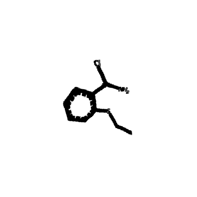 CCSc1ccccc1C(N)Cl